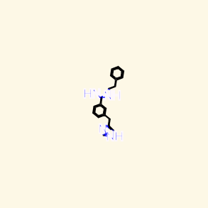 N=C(NCCc1ccccc1)c1cccc(Cc2c[nH]cn2)c1